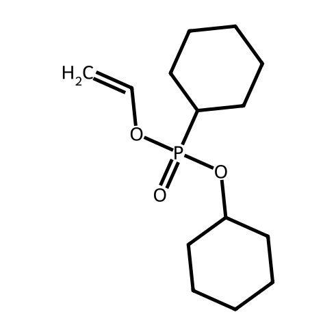 C=COP(=O)(OC1CCCCC1)C1CCCCC1